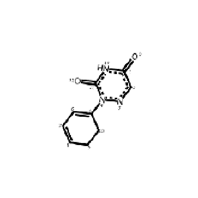 O=c1cnn(C2=CC=CCC2)c(=O)[nH]1